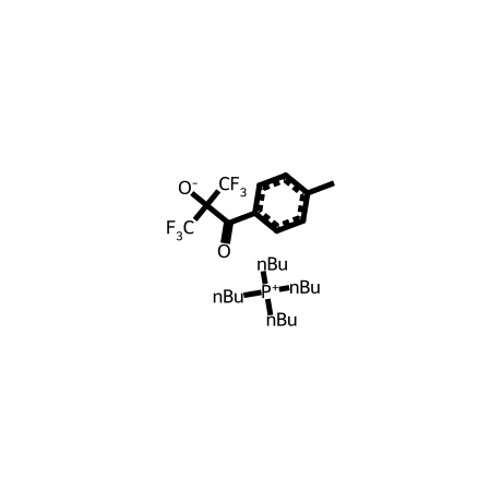 CCCC[P+](CCCC)(CCCC)CCCC.Cc1ccc(C(=O)C([O-])(C(F)(F)F)C(F)(F)F)cc1